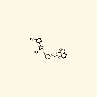 Cc1cccc(-c2nc(COC3CCCC(OCCOc4cccc(F)c4C(=O)O)C3)c(C)o2)c1